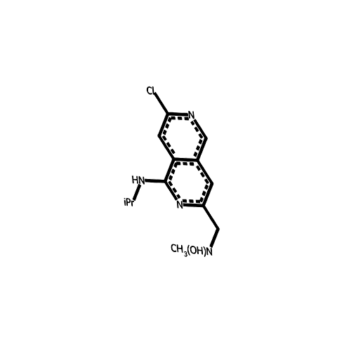 CC(C)Nc1nc(CN(C)O)cc2cnc(Cl)cc12